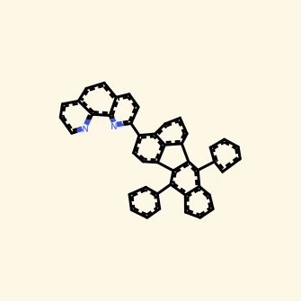 c1ccc(-c2c3c(c(-c4ccccc4)c4ccccc24)-c2ccc(-c4ccc5ccc6cccnc6c5n4)c4cccc-3c24)cc1